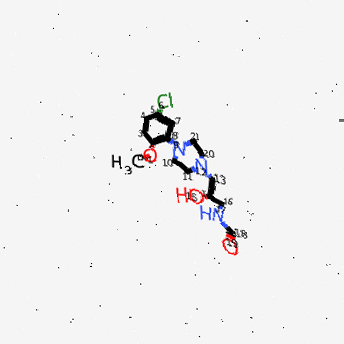 COc1ccc(Cl)cc1N1CCN(CC(O)CNC=O)CC1